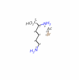 CC(=O)Br.NCCCCC(N)C(=O)O